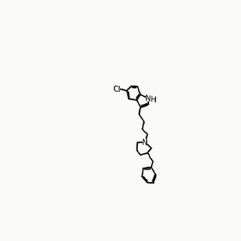 Clc1ccc2[nH]cc(CCCCN3CCCC(Cc4ccccc4)C3)c2c1